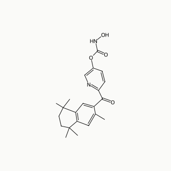 Cc1cc2c(cc1C(=O)c1ccc(OC(=O)NO)cn1)C(C)(C)CCC2(C)C